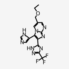 CCOCc1cnc2nc(-c3nc(C(F)(F)F)n[nH]3)c(-c3cnc[nH]3)n2c1